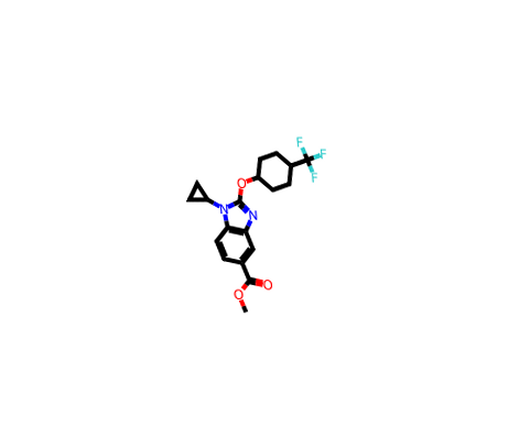 COC(=O)c1ccc2c(c1)nc(OC1CCC(C(F)(F)F)CC1)n2C1CC1